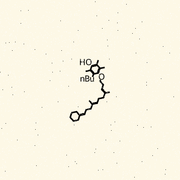 CCCCc1c(C)c(O)c(C)c(C)c1OCC/C=C(\C)CC/C=C(\C)CCC=C1CCCCC1